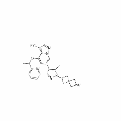 Cc1c(-c2cc(O[C@H](C)c3ccccn3)c3c(C#N)cnn3c2)cnn1C1CC2(CNC2)C1